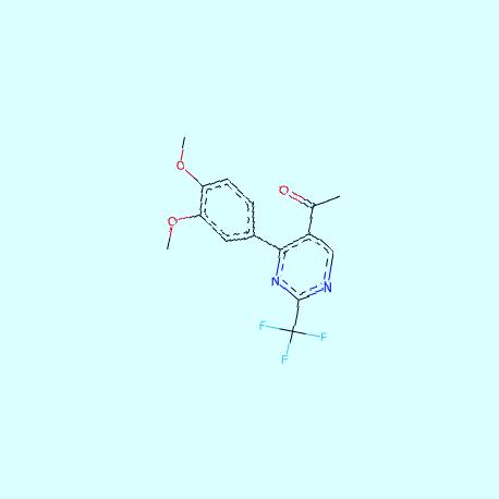 COc1ccc(-c2nc(C(F)(F)F)ncc2C(C)=O)cc1OC